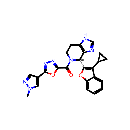 Cn1cc(-c2nnc(C(=O)N3CCc4[nH]cnc4[C@@H]3c3oc4ccccc4c3C3CC3)o2)cn1